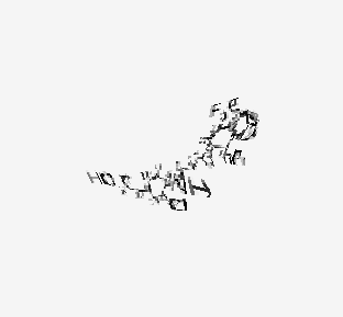 CCCc1c(OCCCNc2ccc(CC(=O)O)cc2Cl)ccc2c(C(F)(F)F)noc12